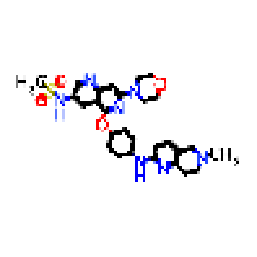 CN1CCc2nc(N[C@H]3CC[C@@H](Oc4nc(N5CCOCC5)cc5ncc(NS(C)(=O)=O)cc45)CC3)ccc2C1